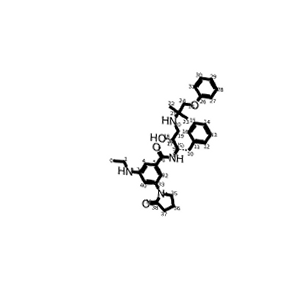 CCNc1cc(C(=O)N[C@@H](Cc2ccccc2)[C@H](O)CNC(C)(C)COc2ccccc2)cc(N2CCCC2=O)c1